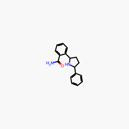 NC(=O)c1ccccc1C1CCC(c2ccccc2)N1